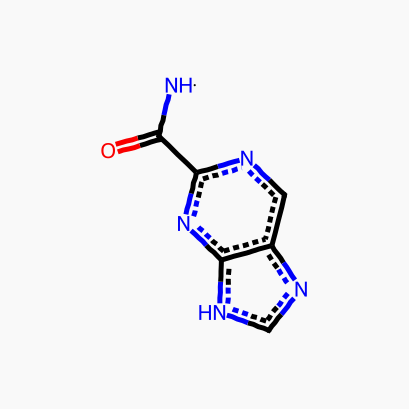 [NH]C(=O)c1ncc2nc[nH]c2n1